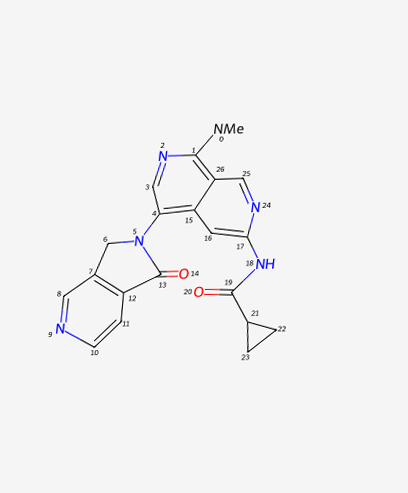 CNc1ncc(N2Cc3cnccc3C2=O)c2cc(NC(=O)C3CC3)ncc12